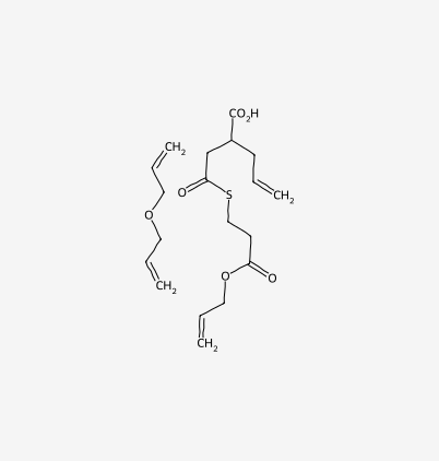 C=CCOC(=O)CCSC(=O)CC(CC=C)C(=O)O.C=CCOCC=C